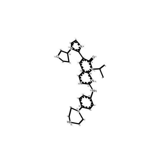 CC(C)n1c(=O)c(-c2nccn2C2CCOC2)cc2cnc(Nc3ccc(N4CCNCC4)cc3)nc21